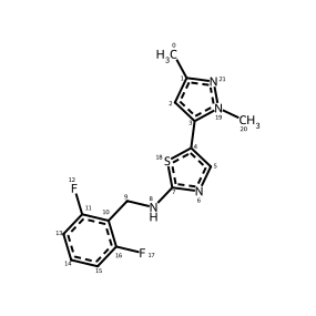 Cc1cc(-c2cnc(NCc3c(F)cccc3F)s2)n(C)n1